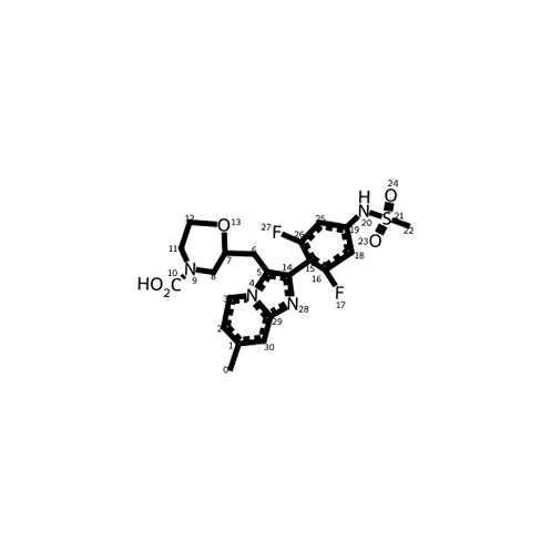 Cc1ccn2c(CC3CN(C(=O)O)CCO3)c(-c3c(F)cc(NS(C)(=O)=O)cc3F)nc2c1